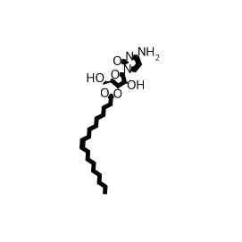 CCCCCCCC/C=C\CCCCCCCC(=O)O[C@H]1[C@H](O)[C@H](n2ccc(N)nc2=O)O[C@@H]1CO